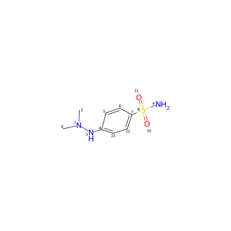 CN(C)Nc1ccc(S(N)(=O)=O)cc1